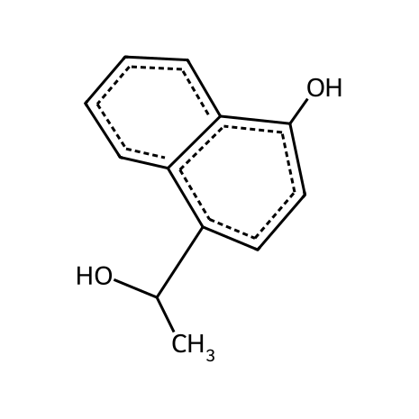 CC(O)c1ccc(O)c2ccccc12